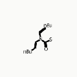 CCCC/C=C/N(/C=C/CCCC)C(=O)[S]